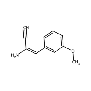 C#C/C(N)=C\c1cccc(OC)c1